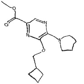 COC(=O)c1cnc(N2CCCC2)c(OCC2CCC2)n1